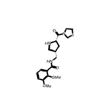 COc1cccc(C(=O)NC[C@@H]2CN[C@H](C(=O)N3CCSC3)C2)c1OC